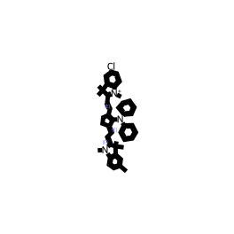 Cc1ccc2c(c1)C(C)(C)/C(=C\C=C1/CCC(/C=C/C3=[N+](C)c4ccc(Cl)cc4C3(C)C)=C1N(c1ccccc1)c1ccccc1)N2C